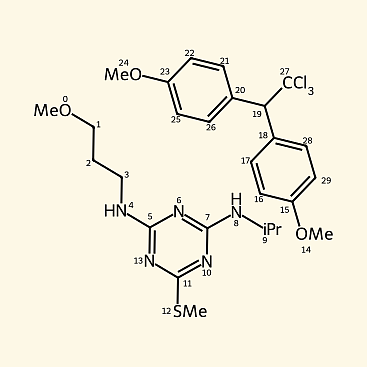 COCCCNc1nc(NC(C)C)nc(SC)n1.COc1ccc(C(c2ccc(OC)cc2)C(Cl)(Cl)Cl)cc1